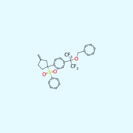 C=C1CCC(c2ccc(C(OCc3ccccc3)(C(F)(F)F)C(F)(F)F)cc2)(S(=O)(=O)c2ccccc2)C1